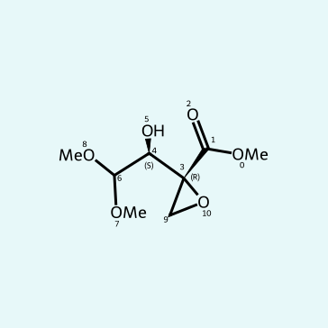 COC(=O)[C@]1([C@H](O)C(OC)OC)CO1